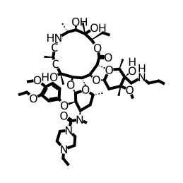 CCCNC[C@]1(O)[C@H](C)O[C@@H](O[C@H]2[C@H](C)[C@@H](O[C@@H]3O[C@H](C)C[C@H](N(C)C(=O)N4CCN(CC)CC4)[C@H]3Oc3ccc(OC)c(OCC)c3)[C@](C)(O)C[C@@H](C)CN[C@H](C)[C@@H](O)[C@](C)(O)[C@@H](CC)OC(=O)[C@@H]2C)C[C@@]1(C)OC